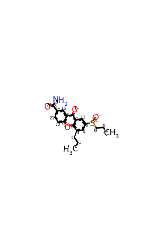 CCCc1cc([S+]([O-])CCC)cc2c(=O)c3cc(C(N)=O)ccc3oc12